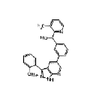 COc1ccccc1-c1n[nH]c2ncc(-c3cccc(C(O)c4ncccc4C(F)(F)F)c3)cc12